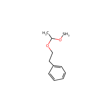 CC(O[SiH3])OCCc1ccccc1